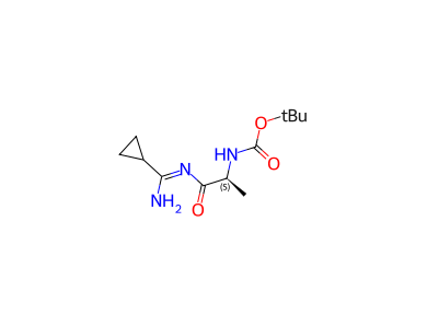 C[C@H](NC(=O)OC(C)(C)C)C(=O)N=C(N)C1CC1